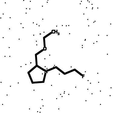 CCOCC1CCCN1CCCF